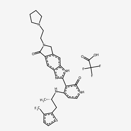 C[C@@H](Cc1sccc1C(F)(F)F)Nc1cc[nH]c(=O)c1-c1nc2cc3c(cc2[nH]1)CN(CCN1CCCC1)C3=O.O=C(O)C(F)(F)F